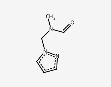 CN(C=O)Cn1cccn1